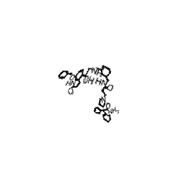 NC(=O)C(c1ccccc1)(c1ccccc1)[C@@H]1CCN(CCC(=O)NCC2CCCC(CNC[C@H](O)c3ccc(OCc4ccccc4)c4[nH]c(=O)ccc34)C2)C1